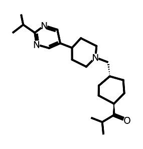 CC(C)c1ncc(C2CCN(C[C@H]3CC[C@H](C(=O)C(C)C)CC3)CC2)cn1